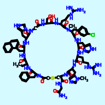 CCC1NC(=O)C(Cc2ccccc2)NC(=O)CSCC(C(=O)NCC(N)=O)NC(=O)C(Cc2cncn2C)NC(=O)C(CCCNC(=N)N)NC(=O)C(Cc2c[nH]cn2)NC(=O)C(Cc2ccc(Cl)cc2)N(C)C(=O)C(CCCNC(=N)N)NC(=O)C(CO)NC(=O)CNC(=O)C(Cc2c[nH]cn2)NC(=O)C(Cc2cccc3ccccc23)NC1=O